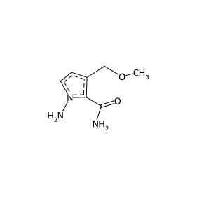 COCc1ccn(N)c1C(N)=O